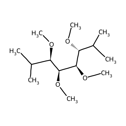 CO[C@H]([C@H](OC)[C@H](OC)C(C)C)[C@H](OC)C(C)C